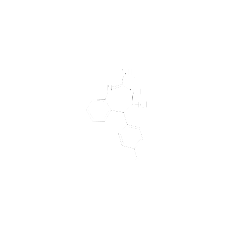 Cl.NC1=Nc2ccccc2C(c2ccc(Cl)cc2)CN1